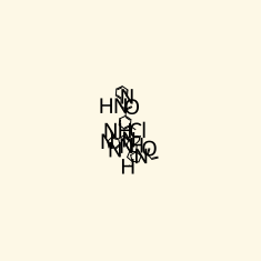 C=CC(=O)N1C[C@@H]2C[C@@H]1[C@H](n1nc(-c3ccc(C(=O)Nc4ccccn4)cc3Cl)c3c(N)ncnc31)C2